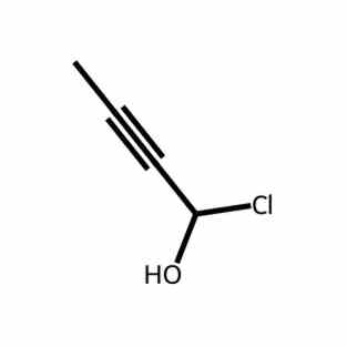 CC#CC(O)Cl